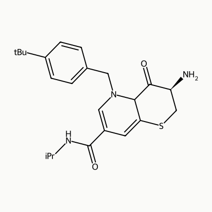 CC(C)NC(=O)C1=CN(Cc2ccc(C(C)(C)C)cc2)C2C(=O)[C@@H](N)CSC2=C1